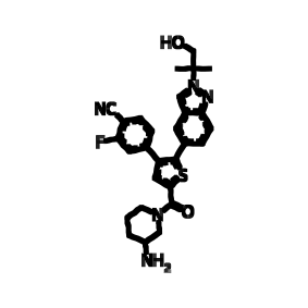 CC(C)(CO)n1cc2cc(-c3sc(C(=O)N4CCCC(N)C4)cc3-c3ccc(C#N)c(F)c3)ccc2n1